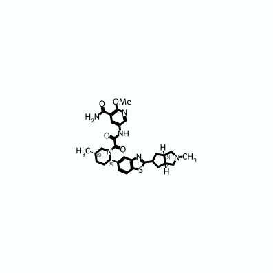 COc1ncc(NC(=O)C(=O)N2C[C@@H](C)CC[C@@H]2c2ccc3sc(C4C[C@@H]5CN(C)C[C@@H]5C4)nc3c2)cc1C(N)=O